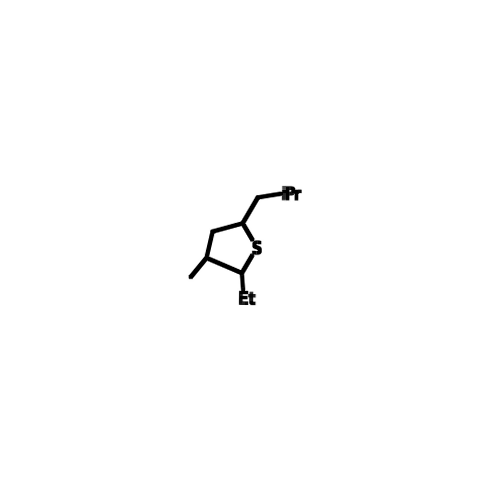 CCC1SC(CC(C)C)CC1C